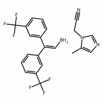 BC=C(c1cccc(C(F)(F)F)c1)c1cccc(C(F)(F)F)c1.Cc1cncn1CC#N